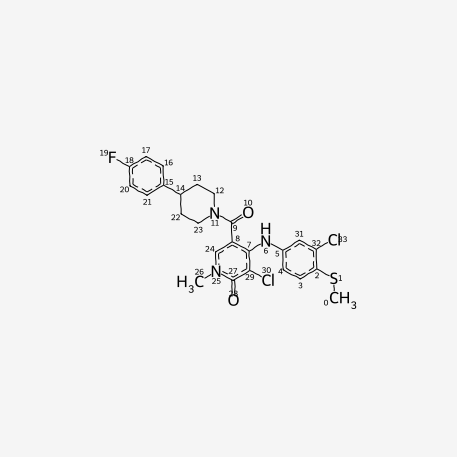 CSc1ccc(Nc2c(C(=O)N3CCC(c4ccc(F)cc4)CC3)cn(C)c(=O)c2Cl)cc1Cl